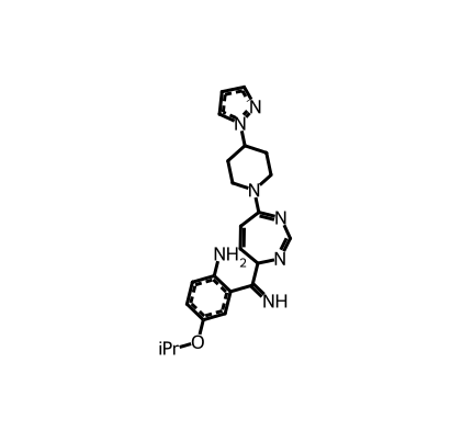 CC(C)Oc1ccc(N)c(C(=N)C2C=CC(N3CCC(n4cccn4)CC3)=NC=N2)c1